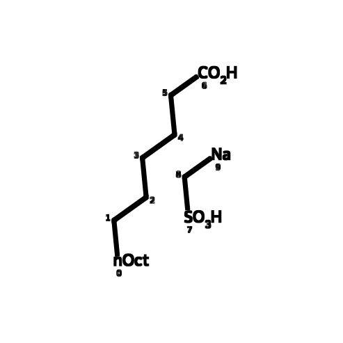 CCCCCCCCCCCCCC(=O)O.O=S(=O)(O)[CH2][Na]